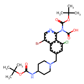 CC(C)(C)OC(=O)NC1CCN(Cc2cc(Cl)c3c(N(C(=O)O)C(=O)OC(C)(C)C)ncc(Br)c3c2)CC1